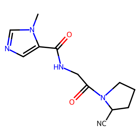 Cn1cncc1C(=O)NCC(=O)N1CCCC1C#N